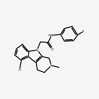 CN1CCc2c(n(CC(=O)Nc3ccc(F)cc3)c3cccc(Cl)c23)C1